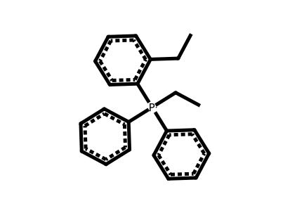 CCc1ccccc1[P](CC)(c1ccccc1)c1ccccc1